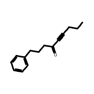 CCCC#CC(=O)CCCc1ccccc1